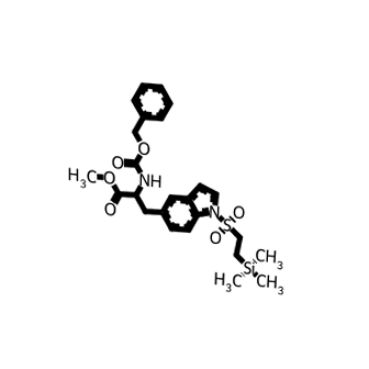 COC(=O)C(Cc1ccc2c(ccn2S(=O)(=O)CC[Si](C)(C)C)c1)NC(=O)OCc1ccccc1